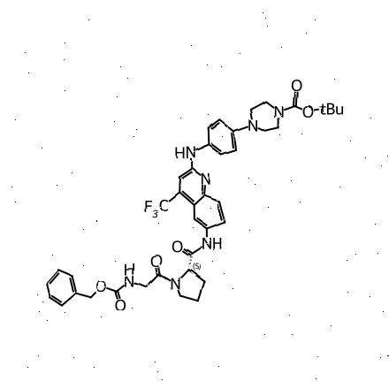 CC(C)(C)OC(=O)N1CCN(c2ccc(Nc3cc(C(F)(F)F)c4cc(NC(=O)[C@@H]5CCCN5C(=O)CNC(=O)OCc5ccccc5)ccc4n3)cc2)CC1